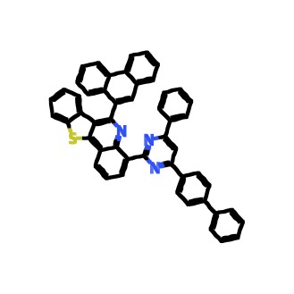 c1ccc(-c2ccc(-c3cc(-c4ccccc4)nc(-c4cccc5c4nc(-c4cc6ccccc6c6ccccc46)c4c6ccccc6sc54)n3)cc2)cc1